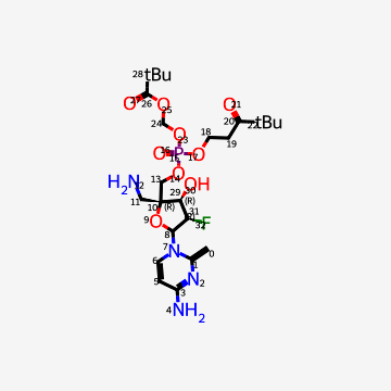 C=C1N=C(N)C=CN1C1O[C@](CN)(COP(=O)(OCCC(=O)C(C)(C)C)OCOC(=O)C(C)(C)C)[C@@H](O)[C@H]1F